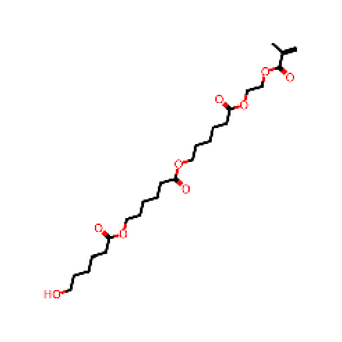 C=C(C)C(=O)OCCOC(=O)CCCCCOC(=O)CCCCCOC(=O)CCCCCO